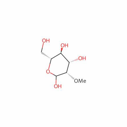 CO[C@@H]1C(O)O[C@H](CO)[C@@H](O)[C@@H]1O